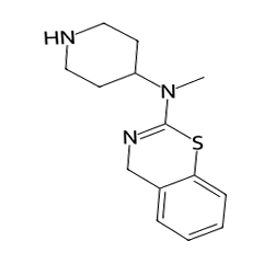 CN(C1=NCc2ccccc2S1)C1CCNCC1